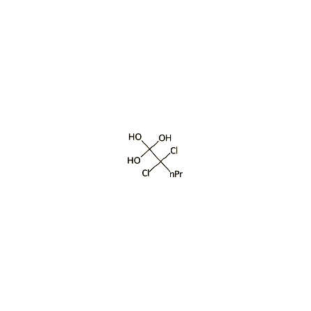 CCCC(Cl)(Cl)C(O)(O)O